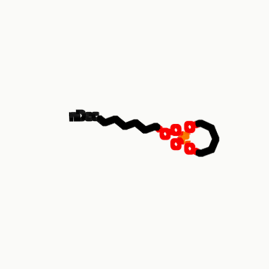 CCCCCCCCCCCCCCCCOOP1(=O)OCCCCCO1